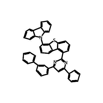 c1ccc(-c2cccc(-c3cc(-c4ccccc4)nc(-c4cccc5sc6c(-n7c8ccccc8c8ccccc87)cccc6c45)n3)c2)cc1